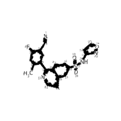 Cc1cc(F)c(C#N)cc1-c1nccc2cc(S(=O)(=O)Nc3ccon3)ccc12